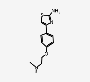 CN(C)CCOc1ccc(-c2csc(N)n2)cc1